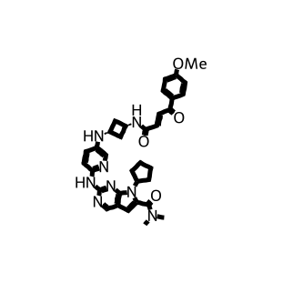 COc1ccc(C(=O)/C=C/C(=O)N[C@H]2C[C@@H](Nc3ccc(Nc4ncc5cc(C(=O)N(C)C)n(C6CCCC6)c5n4)nc3)C2)cc1